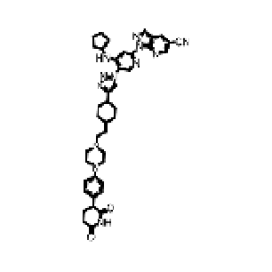 N#Cc1cnc2c(cnn2-c2cc(NC3CCCC3)c(-n3cc(C4CCC(CCN5CCN(c6ccc(C7CCC(=O)NC7=O)cc6)CC5)CC4)nn3)cn2)c1